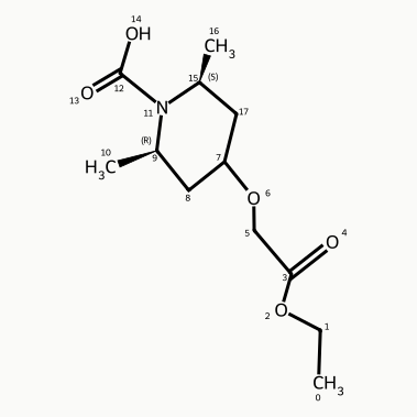 CCOC(=O)COC1C[C@@H](C)N(C(=O)O)[C@@H](C)C1